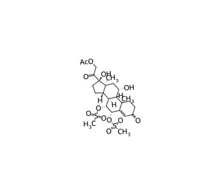 CC(=O)OCC(=O)[C@@]1(O)CC[C@H]2[C@@H]3[C@@H](OS(C)(=O)=O)[C@@H](OS(C)(=O)=O)C4=CC(=O)CC[C@]4(C)[C@H]3[C@@H](O)C[C@@]21C